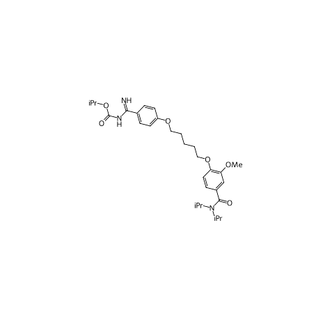 COc1cc(C(=O)N(C(C)C)C(C)C)ccc1OCCCCCOc1ccc(C(=N)NC(=O)OC(C)C)cc1